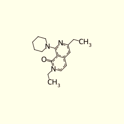 CCc1cc2ccn(CC)c(=O)c2c(N2CCCCC2)n1